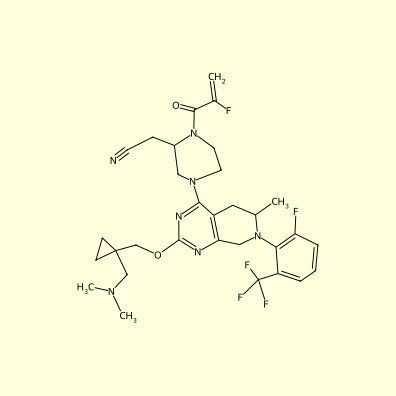 C=C(F)C(=O)N1CCN(c2nc(OCC3(CN(C)C)CC3)nc3c2CC(C)N(c2c(F)cccc2C(F)(F)F)C3)CC1CC#N